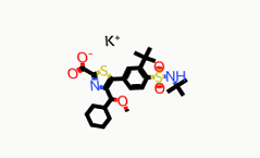 COC(c1nc(C(=O)[O-])sc1-c1ccc(S(=O)(=O)NC(C)(C)C)c(C(C)(C)C)c1)C1CCCCC1.[K+]